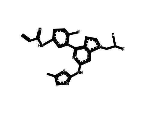 C=CC(=O)Nc1ccc(F)c(-c2nc(Nc3ncc(C)s3)cc3c2ccn3CC(F)F)c1